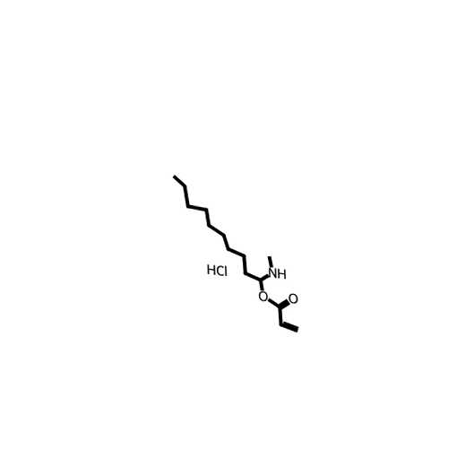 C=CC(=O)OC(CCCCCCCCC)NC.Cl